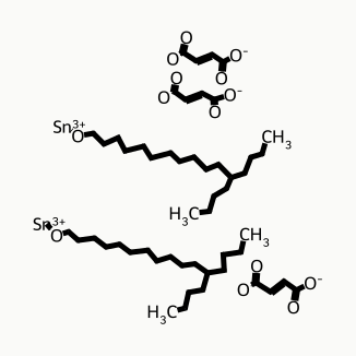 CCCCC(CCCC)CCCCCCCCCCC[O][Sn+3].CCCCC(CCCC)CCCCCCCCCCC[O][Sn+3].O=C([O-])C=CC(=O)[O-].O=C([O-])C=CC(=O)[O-].O=C([O-])C=CC(=O)[O-]